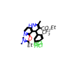 CCOC(=O)C1=C(C)Nc2ccnc(OC(CC)N(C)C)c2C1c1ccccc1C(F)(F)F.Cl.Cl